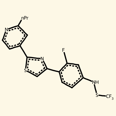 CCCc1cc(-c2nc(-c3ccc(NSC(F)(F)F)cc3F)cs2)ccn1